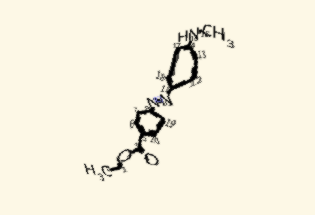 CCOC(=O)c1ccc(/N=N/c2ccc(NC)cc2)cc1